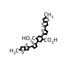 Cc1cc2sc(-c3ccc(-c4cc(C(=O)O)c(-c5ccc(-c6cc7sc(C)cc7s6)s5)cc4C(=O)O)s3)cc2s1